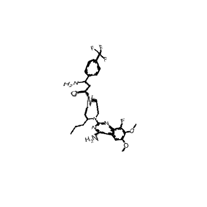 CCCC1CN(C(=O)CC(N)c2ccc(C(F)(F)F)cc2)CCN1c1nc(N)c2cc(OC)c(OC)c(F)c2n1